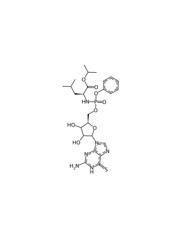 CC(C)C[C@H](NP(=O)(OC[C@H]1OC(n2cnc3c(=S)[nH]c(N)nc32)C(O)C1O)Oc1ccccc1)C(=O)OC(C)C